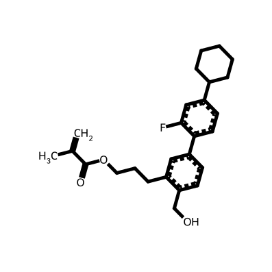 C=C(C)C(=O)OCCCc1cc(-c2ccc(C3CCCCC3)cc2F)ccc1CO